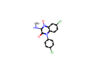 CCCCNc1c(=O)n(-c2ccc(Cl)cc2)c2ccc(Cl)cc2[n+]1[O-]